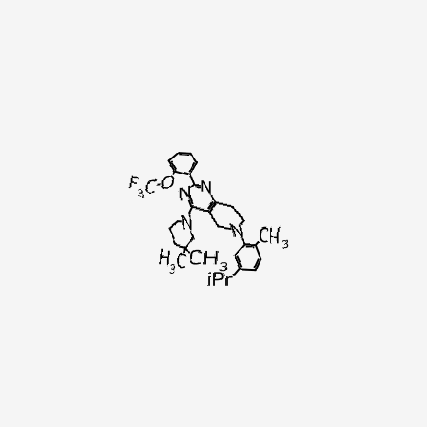 Cc1ccc(C(C)C)cc1N1CCc2nc(-c3ccccc3OC(F)(F)F)nc(N3CCCC(C)(C)C3)c2C1